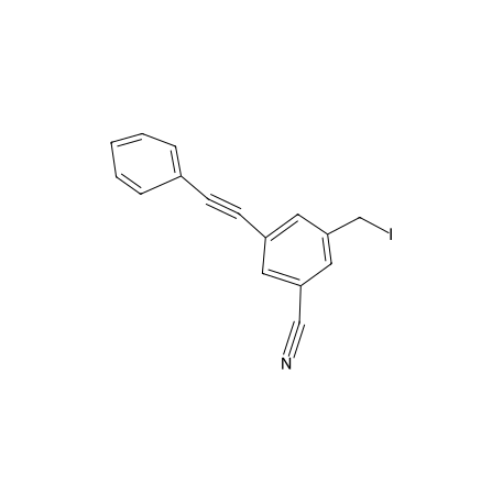 N#Cc1cc(C#Cc2ccccc2)cc(CI)c1